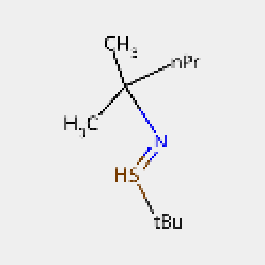 CCCC(C)(C)/N=[SH]/C(C)(C)C